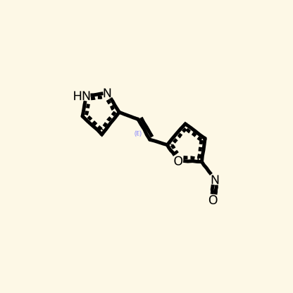 O=Nc1ccc(/C=C/c2cc[nH]n2)o1